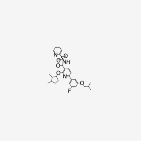 CC(C)COc1cc(F)cc(-c2ccc(C(=O)NS(=O)(=O)c3ccccn3)c(OC3CCC(C)C3C)n2)c1